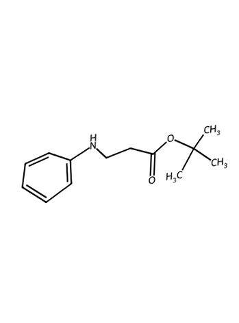 CC(C)(C)OC(=O)CCNc1ccccc1